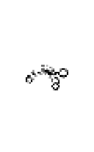 CC(C)(NC(=O)c1cc2c(n(CC3CCCCC3)c1=O)CCCCCC2)C(=O)OCOC(=O)N1CCCCC1